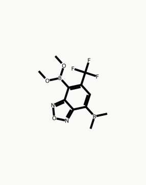 COB(OC)c1c(C(F)(F)F)cc(B(C)C)c2nonc12